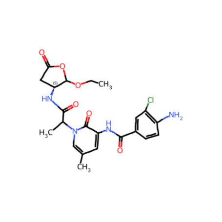 CCOC1OC(=O)C[C@@H]1NC(=O)C(C)n1cc(C)cc(NC(=O)c2ccc(N)c(Cl)c2)c1=O